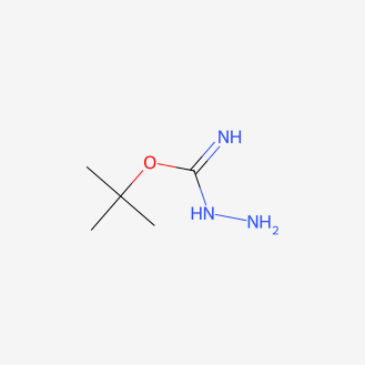 CC(C)(C)OC(=N)NN